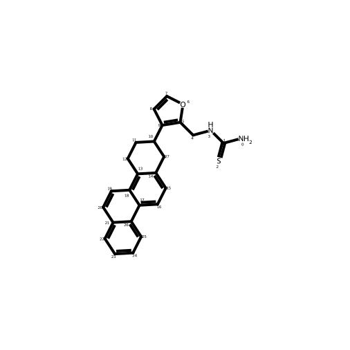 NC(=S)NCc1occc1C1CCc2c(ccc3c2ccc2ccccc23)C1